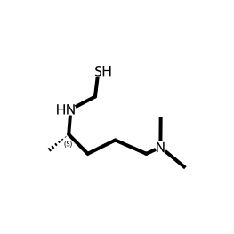 C[C@@H](CCCN(C)C)NCS